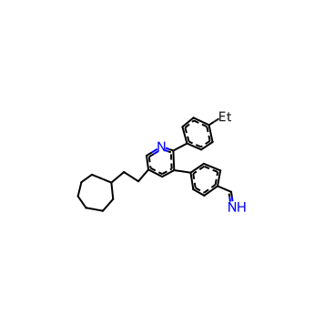 CCc1ccc(-c2ncc(CCC3CCCCCC3)cc2-c2ccc(C=N)cc2)cc1